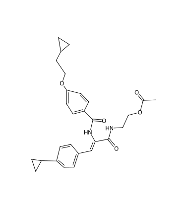 CC(=O)OCCNC(=O)/C(=C/c1ccc(C2CC2)cc1)NC(=O)c1ccc(OCCC2CC2)cc1